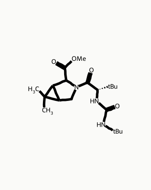 COC(=O)C1C2C(CN1C(=O)[C@@H](NC(=O)NC(C)(C)C)C(C)(C)C)C2(C)C